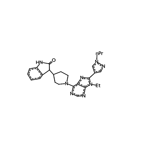 CCCn1cc(-c2nc3c(N4CCC(C5C(=O)Nc6ccccc65)CC4)ncnc3n2CC)cn1